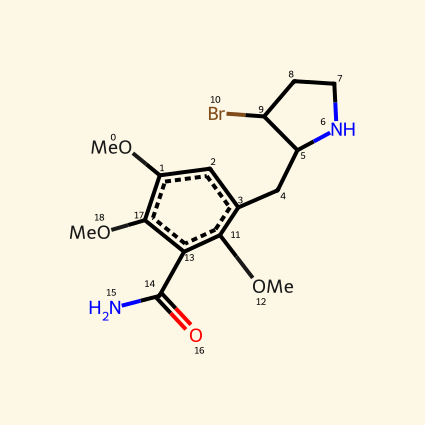 COc1cc(CC2NCCC2Br)c(OC)c(C(N)=O)c1OC